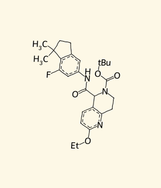 CCOc1ccc2c(n1)CCN(C(=O)OC(C)(C)C)C2C(=O)Nc1cc(F)c2c(c1)CCC2(C)C